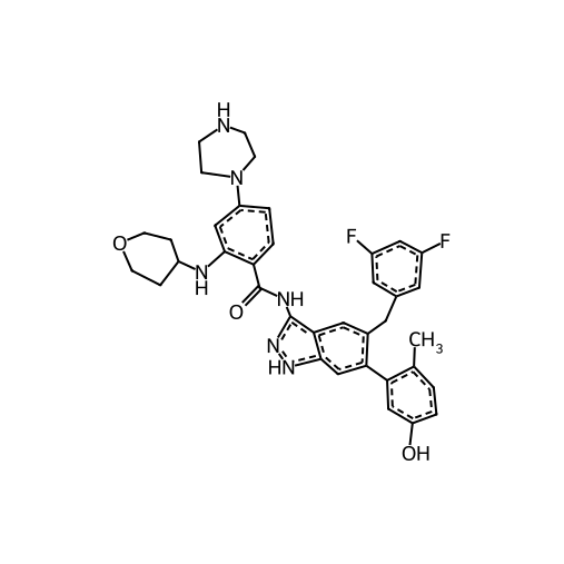 Cc1ccc(O)cc1-c1cc2[nH]nc(NC(=O)c3ccc(N4CCNCC4)cc3NC3CCOCC3)c2cc1Cc1cc(F)cc(F)c1